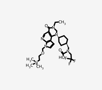 CCN1CN([C@H]2CC[C@H](CN(CC(F)(F)F)C(=O)O)CC2)c2c(cnc3c2ccn3COCC[Si](C)(C)C)C1=O